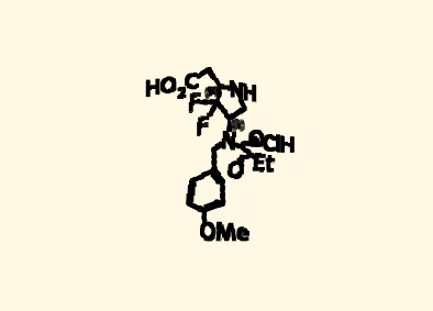 CCS(=O)(=O)N(Cc1ccc(OC)cc1)[C@@H]1CN[C@H](CC(=O)O)C1(F)F.Cl